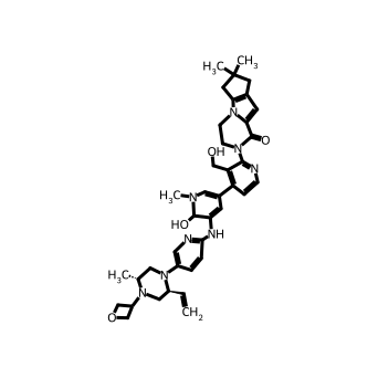 C=C[C@H]1CN(C2COC2)[C@H](C)CN1c1ccc(NC2=CC(c3ccnc(N4CCn5c(cc6c5CC(C)(C)C6)C4=O)c3CO)=CN(C)C2O)nc1